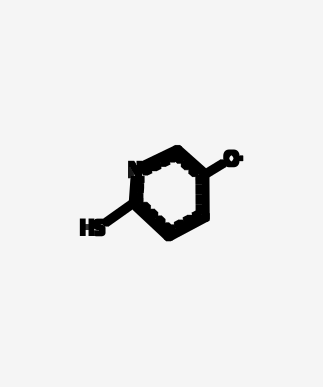 [O]c1ccc(S)nc1